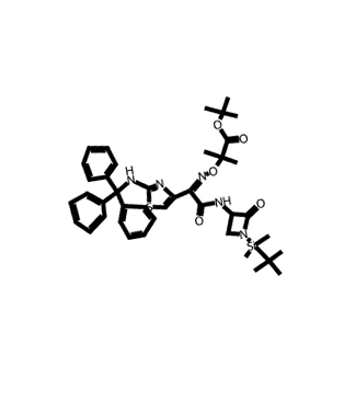 CC(C)(C)OC(=O)C(C)(C)ON=C(C(=O)NC1CN([Si](C)(C)C(C)(C)C)C1=O)c1csc(NC(c2ccccc2)(c2ccccc2)c2ccccc2)n1